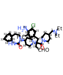 CCN(CC)CC1CCN(C(=O)C(CC=O)(Cc2cc(Cl)c(N)c(C(F)(F)F)c2)N2CCC(N3CCc4ccccc4NC3=O)CC2)CC1